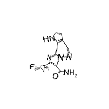 NC(=O)c1c([C@H]2C[C@@H]2F)nc2c3[nH]ccc3cnn12